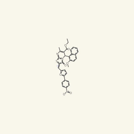 CCOC(=O)C1=C(C)N=c2s/c(=C/c3ccc(-c4ccc([N+](=O)[O-])cc4)o3)c(=O)n2C1c1c(OC)ccc2ccccc12